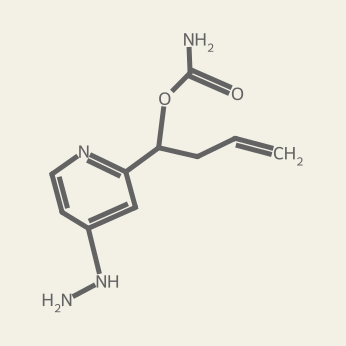 C=CCC(OC(N)=O)c1cc(NN)ccn1